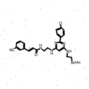 CC(=O)NCCNc1cc(NCCNC(=O)/C=C/c2cccc(C#N)c2)nc(-c2ccc(Cl)cc2)n1